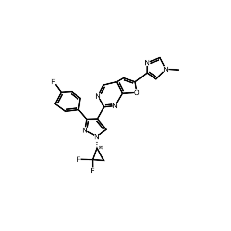 Cn1cnc(-c2cc3cnc(-c4cn([C@@H]5CC5(F)F)nc4-c4ccc(F)cc4)nc3o2)c1